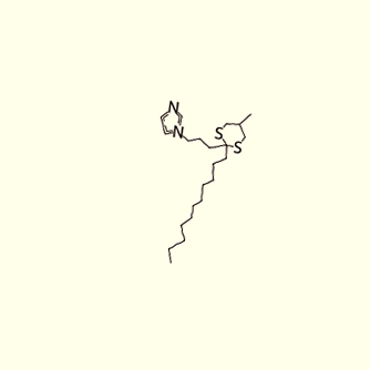 CCCCCCCCCCCC1(CCCn2ccnc2)SCC(C)CS1